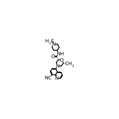 C[C@@H]1CN(c2ccc(C#N)c3ncccc23)C[C@H](C(=O)NC2CCN(C)CC2)O1